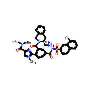 CCCCN(CCCC)C(=O)c1cn(C)c(-c2ccc(C(=O)NS(=O)(=O)c3ccc4cccc(Cl)c4c3)cc2C(=O)N2Cc3ccccc3C[C@H]2CN)n1